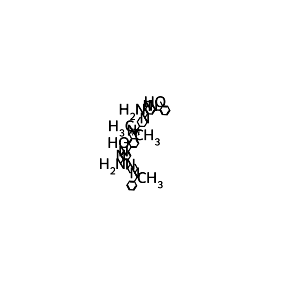 CC(c1ccccc1)N1CCN(c2cc(-c3cccc(CN(C)[C@H](C)C4CCN(c5cc(-c6ccccc6O)nnc5N)CC4)c3O)nnc2N)CC1